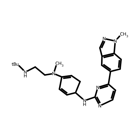 CN(CCNC(C)(C)C)C1=CCC(Nc2nccc(-c3ccc4c(cnn4C)c3)n2)C=C1